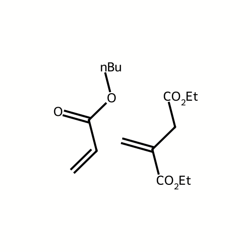 C=C(CC(=O)OCC)C(=O)OCC.C=CC(=O)OCCCC